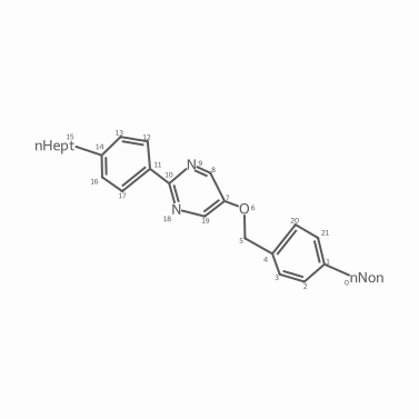 CCCCCCCCCc1ccc(COc2cnc(-c3ccc(CCCCCCC)cc3)nc2)cc1